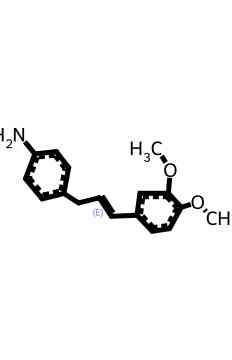 COc1ccc(/C=C/Cc2ccc(N)cc2)cc1OC